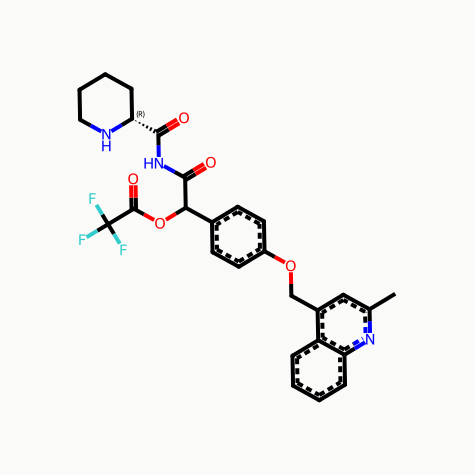 Cc1cc(COc2ccc(C(OC(=O)C(F)(F)F)C(=O)NC(=O)[C@H]3CCCCN3)cc2)c2ccccc2n1